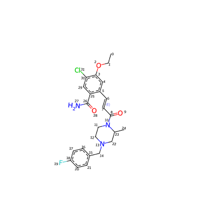 CCOc1cc(/C=C/C(=O)N2CCN(Cc3ccc(F)cc3)CC2C)c(C(N)=O)cc1Cl